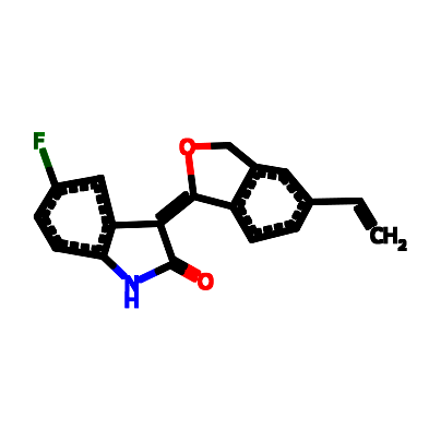 C=Cc1ccc2c(c1)CO/C2=C1/C(=O)Nc2ccc(F)cc21